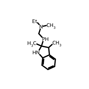 CCN(C)CPC1(C)Nc2ccccc2C1C